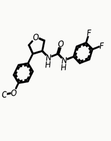 COc1ccc(C2COCC2NC(=O)Nc2ccc(F)c(F)c2)cc1